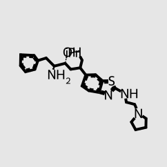 CC(C)CC(C[C@@H](O)[C@@H](N)Cc1ccccc1)c1ccc2nc(NCCN3CCCC3)sc2c1